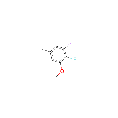 COc1cc(C)cc(I)c1F